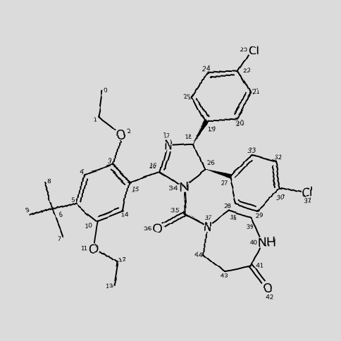 CCOc1cc(C(C)(C)C)c(OCC)cc1C1=N[C@@H](c2ccc(Cl)cc2)[C@@H](c2ccc(Cl)cc2)N1C(=O)N1CCNC(=O)CC1